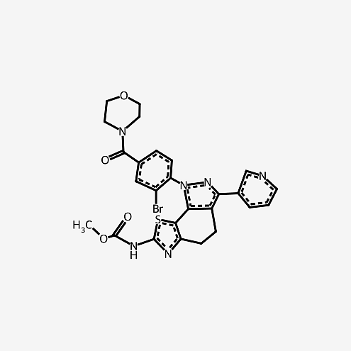 COC(=O)Nc1nc2c(s1)-c1c(c(-c3cccnc3)nn1-c1ccc(C(=O)N3CCOCC3)cc1Br)CC2